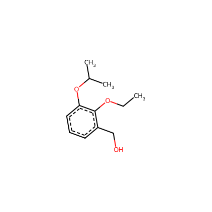 CCOc1c(CO)cccc1OC(C)C